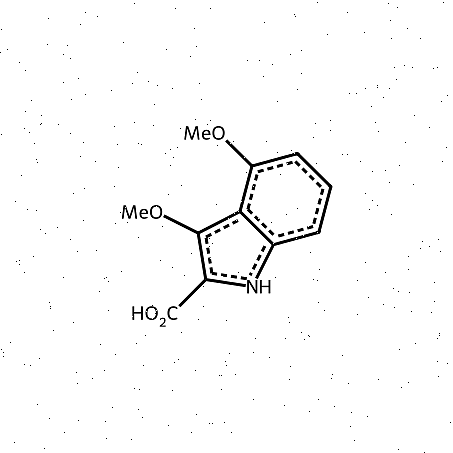 COc1cccc2[nH]c(C(=O)O)c(OC)c12